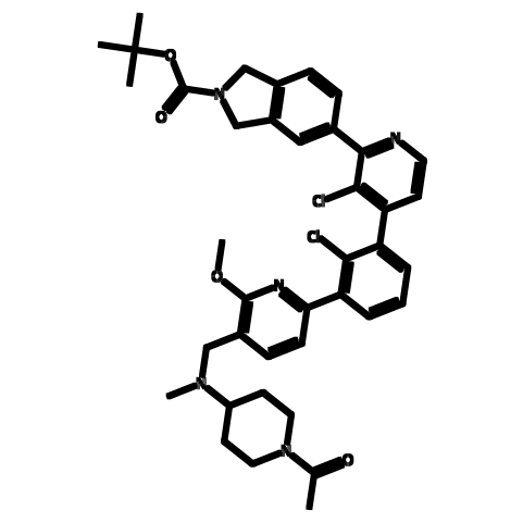 COc1nc(-c2cccc(-c3ccnc(-c4ccc5c(c4)CN(C(=O)OC(C)(C)C)C5)c3Cl)c2Cl)ccc1CN(C)C1CCN(C(C)=O)CC1